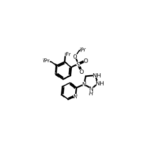 CC(C)OS(=O)(=O)c1cccc(C(C)C)c1C(C)C.c1ccc(N2CNNN2)nc1